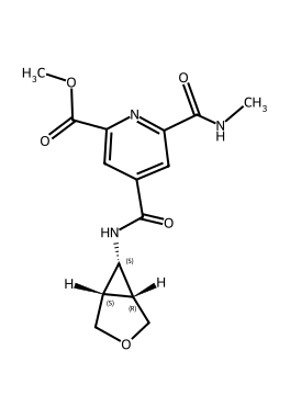 CNC(=O)c1cc(C(=O)N[C@@H]2[C@@H]3COC[C@@H]32)cc(C(=O)OC)n1